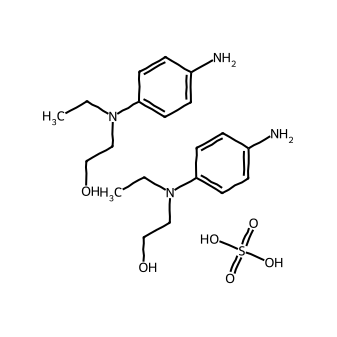 CCN(CCO)c1ccc(N)cc1.CCN(CCO)c1ccc(N)cc1.O=S(=O)(O)O